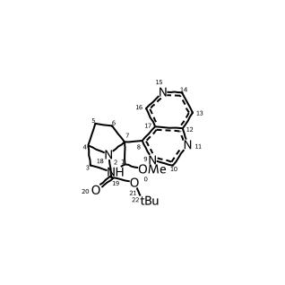 COC1NCC2CCC1(c1ncnc3ccncc13)N2C(=O)OC(C)(C)C